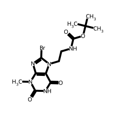 Cn1c(=O)[nH]c(=O)c2c1nc(Br)n2CCNC(=O)OC(C)(C)C